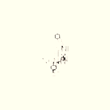 CCc1ccc(C(C#N)NC(=O)c2cn(CCNC(=O)CC3Cc4ccccc4C3)nn2)cc1